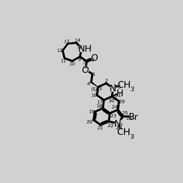 CN1C[C@H](CCOC(=O)C2CCCCCN2)CC2c3cccc4c3c(c(Br)n4C)C[C@H]21